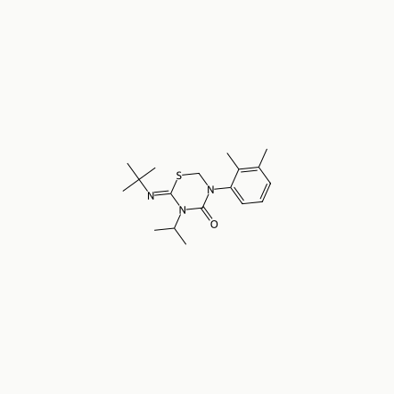 Cc1cccc(N2CSC(=NC(C)(C)C)N(C(C)C)C2=O)c1C